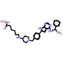 CC(Nc1ncnc2[nH]c(-c3ccc(CN4CCC(NCCCCCC(=O)NO)CC4)cc3)cc12)c1ccccc1